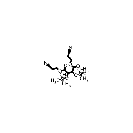 C[Si](C)(C)OC(C(=O)OCCC#N)C(O[Si](C)(C)C)C(=O)OCCC#N